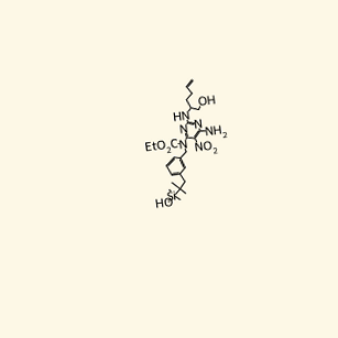 C=CCCC(CO)Nc1nc(N)c([N+](=O)[O-])c(N(Cc2cccc(CC(C)(C)[Si](C)(C)O)c2)C(=O)OCC)n1